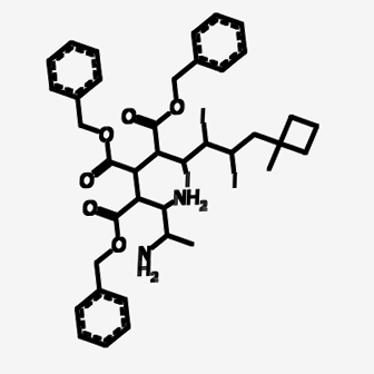 CC(N)C(N)C(C(=O)OCc1ccccc1)C(C(=O)OCc1ccccc1)C(C(=O)OCc1ccccc1)C(I)C(I)C(I)CC1(C)CCC1